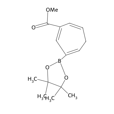 COC(=O)C1=CC(B2OC(C)(C)C(C)(C)O2)=CCC=C1